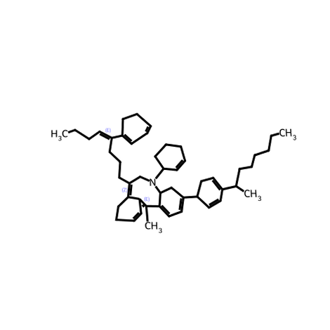 CCC/C=C(\CCC/C1=C2\CCC=C\C2=C(\C)C2=CC=C(C3C=CC(C(C)CCCCCC)=CC3)CC2N(C2C=CCCC2)C1)C1=CC=CCC1